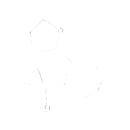 CCC1(c2ccccc2C2CCCO2)CC1